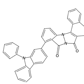 O=c1c2ccc3ccccc3c2n2c3cccc(-c4ccc5c6ccccc6n(-c6ccccc6)c5c4)c3c(=O)n12